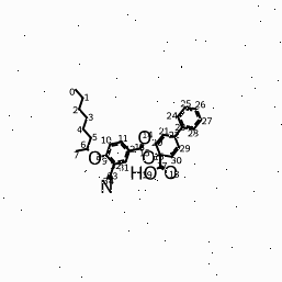 CCCCCCC(C)Oc1ccc(C(=O)OC2(C(=O)O)C=CC(c3ccccc3)C=C2)cc1C#N